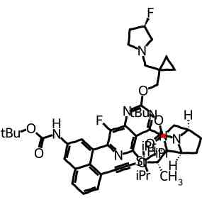 CC(C)[Si](C#Cc1cccc2cc(NC(=O)OC(C)(C)C)cc(-c3nc4c5c(nc(OCC6(CN7CC[C@@H](F)C7)CC6)nc5c3F)N3C[C@H]5CC[C@@H]([C@H]3[C@H](C)O4)N5C(=O)OC(C)(C)C)c12)(C(C)C)C(C)C